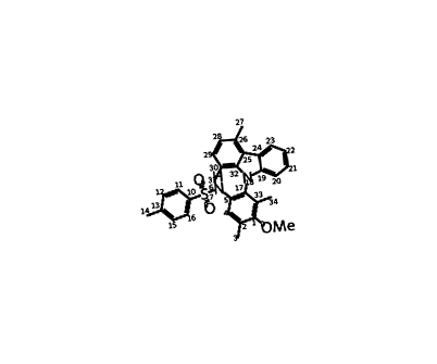 COc1c(C)cc(NS(=O)(=O)c2ccc(C)cc2)c(-n2c3ccccc3c3c(C)ccc(C)c32)c1C